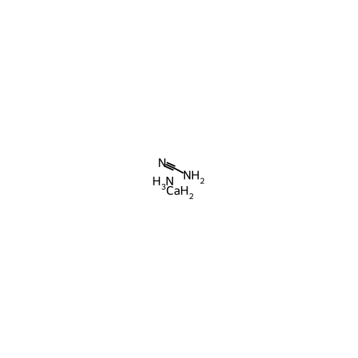 N.N#CN.[CaH2]